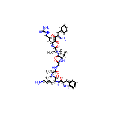 CC(C)C[C@H](NC(=O)CNC(=O)[C@H](C)N(C)C(=O)[C@H](CCCCN)NC(=O)[C@@H](N)Cc1ccccc1)C(=O)N(C)[C@@H](C)C(=O)[N][C@@H](CCCNC(=N)N)C(=O)C(=O)[C@@H](N)CC1CCCCC1